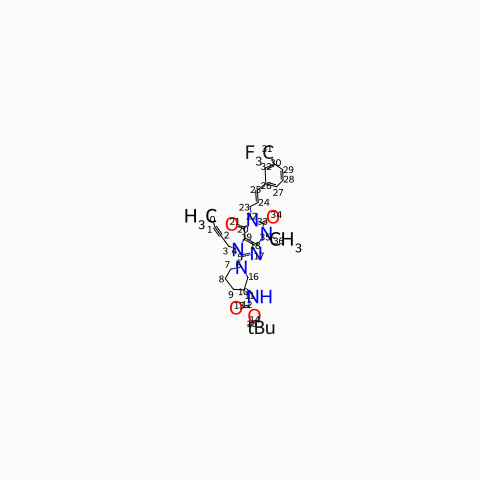 CC#CCn1c(N2CCC[C@@H](NC(=O)OC(C)(C)C)C2)nc2c1c(=O)n(C/C=C/c1cccc(C(F)(F)F)c1)c(=O)n2C